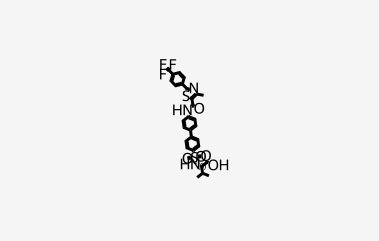 Cc1nc(-c2ccc(C(F)(F)F)cc2)sc1C(=O)Nc1ccc(-c2ccc(S(=O)(=O)N[C@H](C(=O)O)C(C)C)cc2)cc1